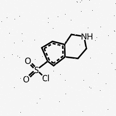 O=S(=O)(Cl)c1ccc2c(c1)CCNC2